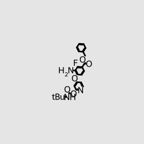 CC(C)(C)NC(=O)Oc1cc(Oc2ccc(C(=O)OCc3ccccc3)c(F)c2N)ccn1